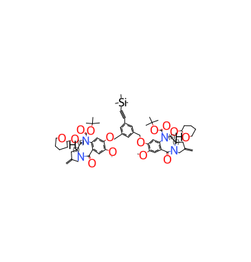 C=C1C[C@H]2[C@H](OC3CCCCO3)N(C(=O)OC(C)(C)C)c3cc(OCc4cc(C#C[Si](C)(C)C)cc(COc5cc6c(cc5OC)C(=O)N5CC(=C)C[C@H]5[C@H](OC5CCCCO5)N6C(=O)OC(C)(C)C)c4)c(OC)cc3C(=O)N2C1